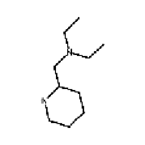 CCN(CC)CC1CCCC[N]1